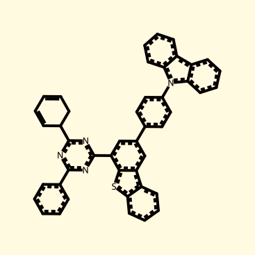 C1=CCC(c2nc(-c3ccccc3)nc(-c3cc(-c4ccc(-n5c6ccccc6c6ccccc65)cc4)cc4c3sc3ccccc34)n2)C=C1